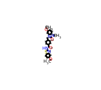 COc1ccc2sc(NC(=O)C3CCC(Cn4c(=O)n(C)c5ccc(OC)cc54)CC3)nc2c1